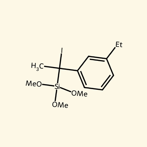 CCc1cccc(C(C)(I)[Si](OC)(OC)OC)c1